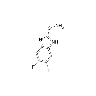 NSc1nc2cc(F)c(F)cc2[nH]1